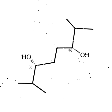 CC(C)[C@H](O)CC[C@@H](O)C(C)C